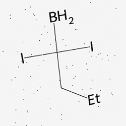 BC(I)(I)CCC